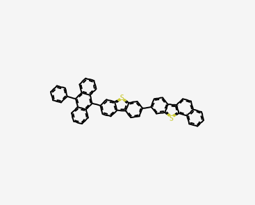 c1ccc(-c2c3ccccc3c(-c3ccc4c(c3)sc3cc(-c5ccc6c(c5)sc5c7ccccc7ccc65)ccc34)c3ccccc23)cc1